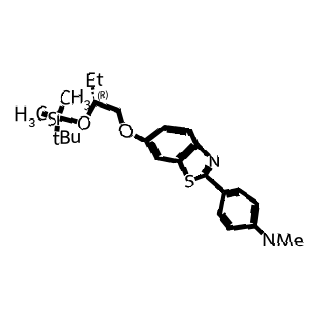 CC[C@H](COc1ccc2nc(-c3ccc(NC)cc3)sc2c1)O[Si](C)(C)C(C)(C)C